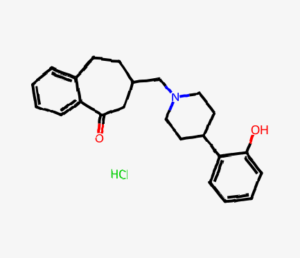 Cl.O=C1CC(CN2CCC(c3ccccc3O)CC2)CCc2ccccc21